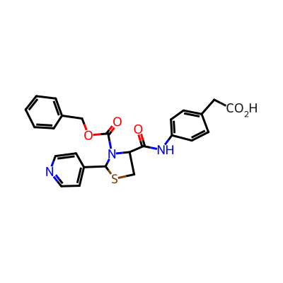 O=C(O)Cc1ccc(NC(=O)C2CSC(c3ccncc3)N2C(=O)OCc2ccccc2)cc1